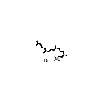 CC(=CC[N+](C)(C)C)CCCC(C)CCCC(C)CCCC(C)C.[Br-]